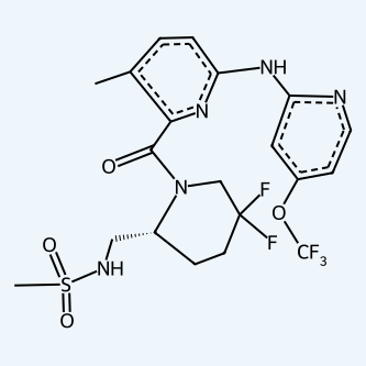 Cc1ccc(Nc2cc(OC(F)(F)F)ccn2)nc1C(=O)N1CC(F)(F)CC[C@@H]1CNS(C)(=O)=O